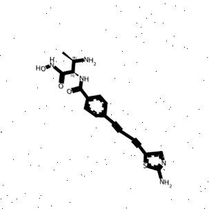 C[C@@H](N)[C@H](NC(=O)c1ccc(C#CC#Cc2cnc(N)s2)cc1)C(=O)NO